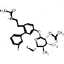 CC(=O)NCCc1ccc(O[C@@H]2O[C@@H](CF)[C@H](C)[C@@H](C)[C@H]2OC(C)=O)cc1-c1cccc(F)c1